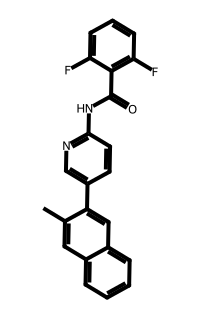 Cc1cc2ccccc2cc1-c1ccc(NC(=O)c2c(F)cccc2F)nc1